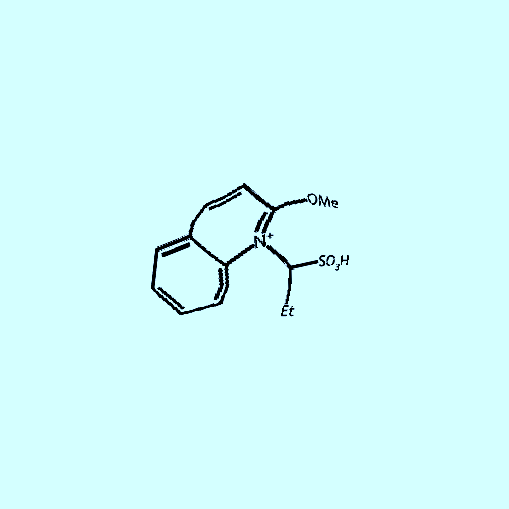 CCC([n+]1c(OC)ccc2ccccc21)S(=O)(=O)O